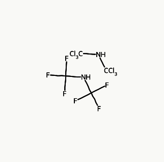 ClC(Cl)(Cl)NC(Cl)(Cl)Cl.FC(F)(F)NC(F)(F)F